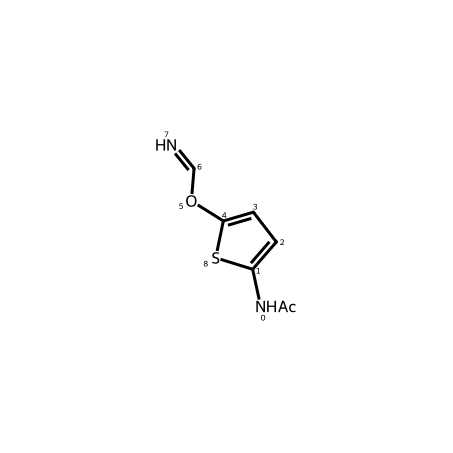 CC(=O)Nc1ccc(OC=N)s1